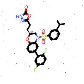 CC(C)c1cccc(S(=O)(=O)N2C[C@H](CCc3n[nH]c(=O)o3)Oc3ccc(-c4cc(F)ccc4F)cc32)c1